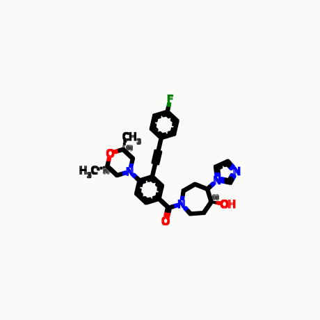 C[C@@H]1CN(c2ccc(C(=O)N3CCC(n4ccnc4)[C@@H](O)CC3)cc2C#Cc2ccc(F)cc2)C[C@H](C)O1